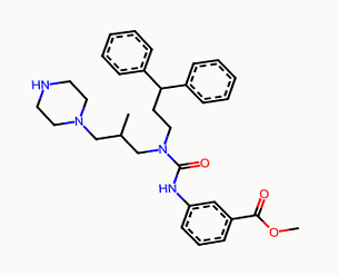 COC(=O)c1cccc(NC(=O)N(CCC(c2ccccc2)c2ccccc2)CC(C)CN2CCNCC2)c1